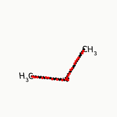 CCCCCCCCCCCCCCCCCCCCCCCCCCCCc1[c]c(CCCCCCCCCCCCCCCCCCCCCCCCCCCC)ccc1